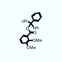 CCCC(CCC)(OC(=O)c1cccc(OC)c1OC)c1ccccc1